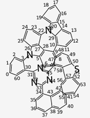 c1ccc(-n2c3cccc4c5cccc6c7ccccc7n(c7cccc2c7c43)c56)c(-c2nc(-c3cccc4ccccc34)nc(-c3cccc4sc5ccccc5c34)n2)c1